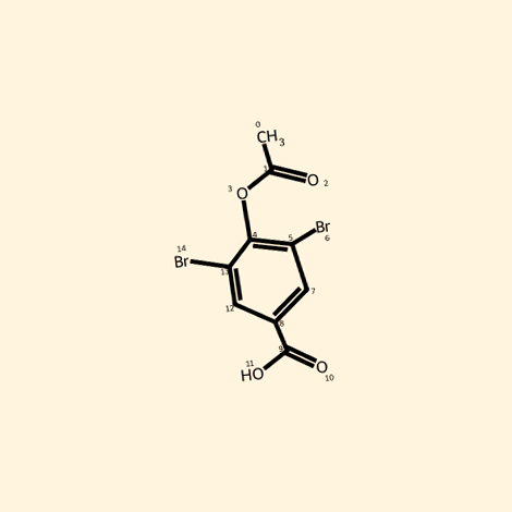 CC(=O)Oc1c(Br)cc(C(=O)O)cc1Br